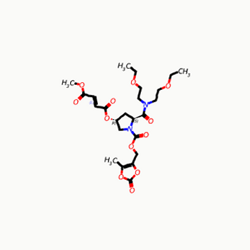 CCOCCN(CCOCC)C(=O)[C@@H]1C[C@@H](OC(=O)/C=C/C(=O)OC)CN1C(=O)OCc1oc(=O)oc1C